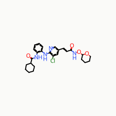 O=C(C=Cc1cnc(Nc2ccccc2NC(=O)C2CCCCC2)c(Cl)c1)NOC1CCCCO1